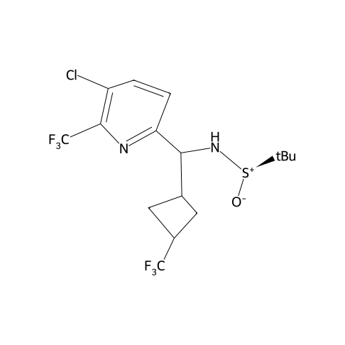 CC(C)(C)[S@@+]([O-])NC(c1ccc(Cl)c(C(F)(F)F)n1)C1CC(C(F)(F)F)C1